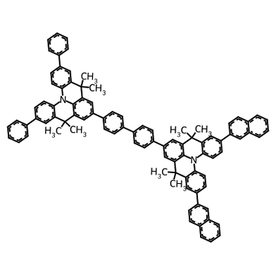 CC1(C)c2cc(-c3ccccc3)ccc2N2c3ccc(-c4ccccc4)cc3C(C)(C)c3cc(-c4ccc(-c5ccc(-c6cc7c8c(c6)C(C)(C)c6cc(-c9ccc%10ccccc%10c9)ccc6N8c6ccc(-c8ccc9ccccc9c8)cc6C7(C)C)cc5)cc4)cc1c32